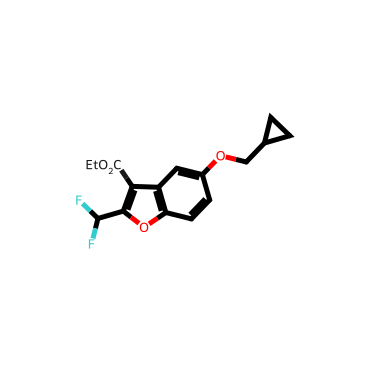 CCOC(=O)c1c(C(F)F)oc2ccc(OCC3CC3)cc12